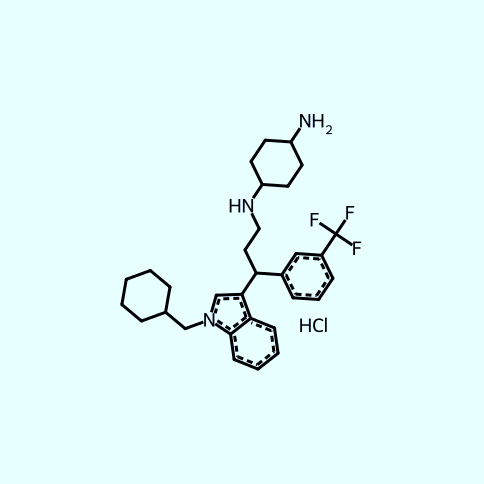 Cl.NC1CCC(NCCC(c2cccc(C(F)(F)F)c2)c2cn(CC3CCCCC3)c3ccccc23)CC1